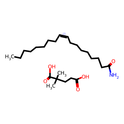 CC(C)(CCC(=O)O)C(=O)O.CCCCCCCC/C=C\CCCCCCCC(N)=O